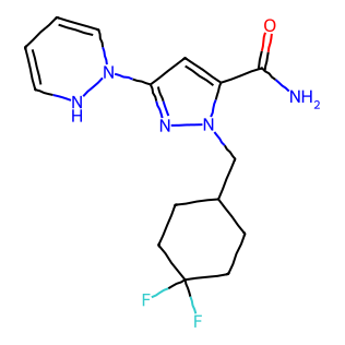 NC(=O)c1cc(N2C=CC=CN2)nn1CC1CCC(F)(F)CC1